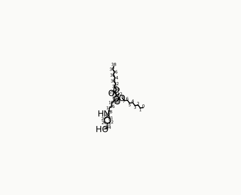 CCCCCCCCOC(=O)C(C)(CCCCCCN[C@H]1CC[C@@H](CO)CC1)C(=O)OCCCCCCCC